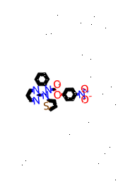 O=C(Oc1ccc([N+](=O)[O-])cc1)N(c1ccccc1)N(c1ncccn1)c1cccs1